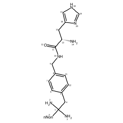 CCCCCCCCCC(N)(N)Cc1ccc(CNC(=O)[C@@H](N)Cc2c[nH]cn2)cc1